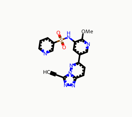 C#Cc1nnc2ccc(-c3cnc(OC)c(NS(=O)(=O)c4cccnc4)c3)nn12